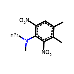 CCCN(C)c1c([N+](=O)[O-])cc(C)c(C)c1[N+](=O)[O-]